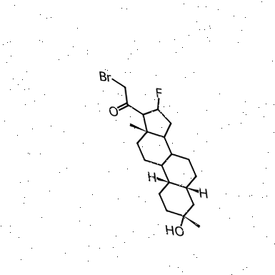 C[C@@]1(O)CC[C@@H]2C3CC[C@@]4(C)C(CC(F)C4C(=O)CBr)C3CC[C@@H]2C1